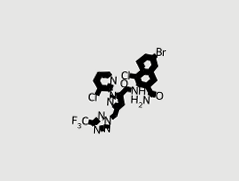 NC(=O)c1cc2cc(Br)ccc2c(Cl)c1NC(=O)c1cc(Cn2nnc(C(F)(F)F)n2)nn1-c1ncccc1Cl